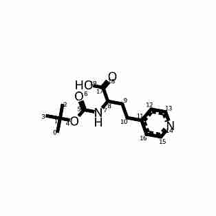 CC(C)(C)OC(=O)NC(CCc1ccncc1)C(=O)O